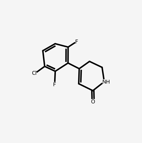 O=C1C=C(c2c(F)ccc(Cl)c2F)CCN1